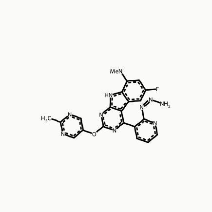 CNc1cc(F)cc2c1[nH]c1nc(Oc3cnc(C)nc3)nc(-c3cccnc3N=NN)c12